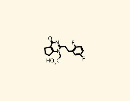 O=C(O)Cn1c(CCc2cc(F)ccc2F)nc(=O)c2c1CCC2